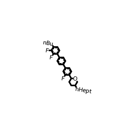 CCCCCCCC1CCC(c2ccc(-c3ccc(-c4ccc(CCCC)c(F)c4F)cc3)cc2F)OC1